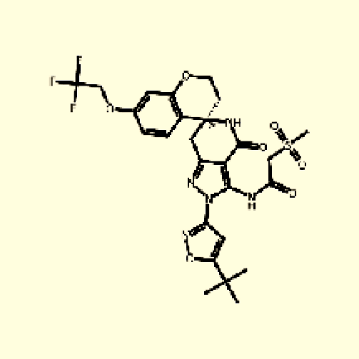 CC(C)(C)c1cc(-n2nc3c(c2NC(=O)CS(C)(=O)=O)C(=O)N[C@@]2(CCOc4cc(OCC(F)(F)F)ccc42)C3)no1